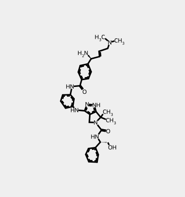 CN(C)C/C=C/[C@H](N)c1ccc(C(=O)Nc2cccc(Nc3n[nH]c4c3CN(C(=O)N[C@H](CO)c3ccccc3)C4(C)C)c2)cc1